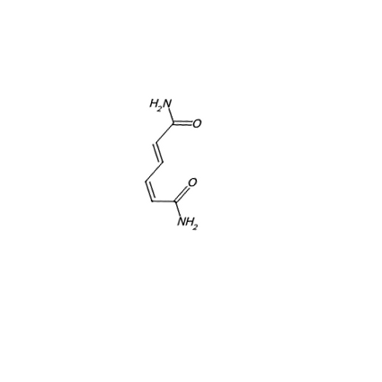 NC(=O)/C=C\C=C\C(N)=O